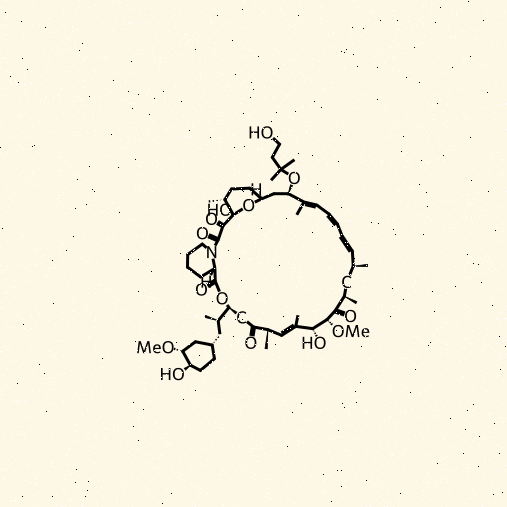 CO[C@@H]1C[C@H](C[C@@H](C)[C@@H]2CC(=O)[C@H](C)/C=C(\C)[C@@H](O)[C@@H](OC)C(=O)[C@H](C)C[C@H](C)/C=C/C=C/C=C(\C)[C@H](OC(C)(C)CCO)C[C@@H]3CC[C@@H](C)[C@@](O)(O3)C(=O)C(=O)N3CCCC[C@H]3C(=O)O2)CC[C@H]1O